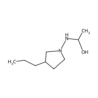 CCCC1CCN(NC(C)O)C1